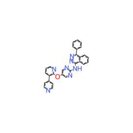 c1ccc(-c2nnc(Nc3ncc(Oc4ncccc4-c4ccncc4)cn3)c3ccccc23)cc1